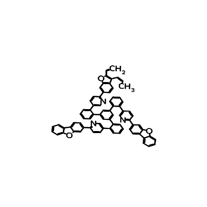 C=Cc1oc2cc(-c3ccc(-c4ccccc4-c4cc(-c5ccccc5-c5ccc(-c6ccc7c(c6)oc6ccccc67)nc5)cc(-c5ccccc5-c5ccc(-c6ccc7c(c6)oc6ccccc67)nc5)c4)cn3)ccc2c1/C=C\C